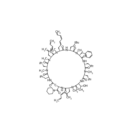 C=C/C=C\C=C\C[C@H]1C(=O)N[C@@H](COC(C)(C)C)C(=O)N(C)[C@@H](Cc2ccccc2)C(=O)N[C@@H](CC(C)C)C(=O)N(C)[C@@H](CC(C)C)C(=O)NC(C(C)O)C(=O)N(C)[C@@H](CC(=C)/C=C\C=C)C(=O)NC(C(=O)N2CCCCC2)CC(=O)NC(CC(C)C)C(=O)N(C)[C@@H](CC(C)C)C(=O)N(C)[C@@H](CC(=C)/C=C\C=C)C(=O)N1C